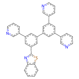 c1cncc(-c2cc(-c3cccnc3)cc(-c3cc(-c4cccnc4)cc(-c4nc5ccccc5s4)c3)c2)c1